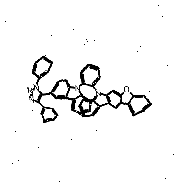 c1ccc(-c2nnn(-c3ccccc3)c2-c2ccc3c(c2)c2ccccc2n3-c2ccccc2-n2c3ccccc3c3cc4c(cc32)oc2ccccc24)cc1